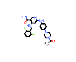 NC(=O)c1cnc(Nc2ccc(N3CCN(C(=O)C(F)(F)F)CC3)cc2)cc1NCc1c(F)cccc1F